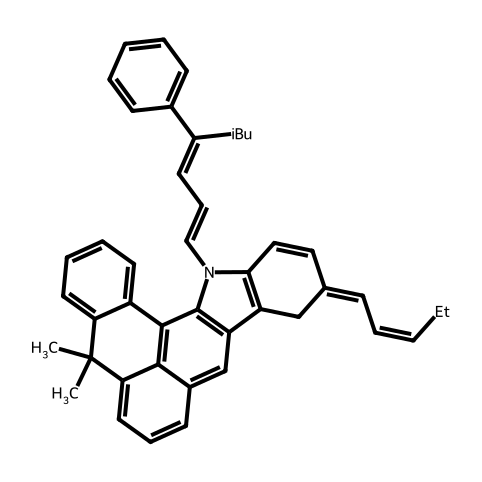 CC/C=C\C=C1\C=Cc2c(c3cc4cccc5c4c(c3n2/C=C/C=C(/c2ccccc2)C(C)CC)-c2ccccc2C5(C)C)C1